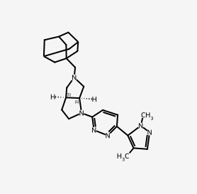 Cc1cnn(C)c1-c1ccc(N2CC[C@H]3CN(CC45CC6CC(CC(C6)C4)C5)C[C@H]32)nn1